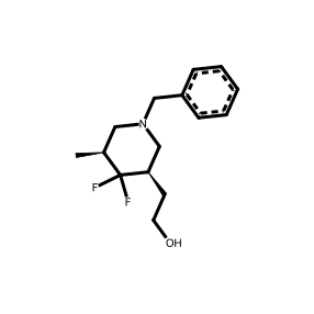 C[C@H]1CN(Cc2ccccc2)C[C@@H](CCO)C1(F)F